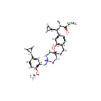 COC(=O)C(C)C(c1ccc2c(c1)OC1(CC2)CCN(Cc2cc(C3CC3)ccc2OC(F)(F)F)CC1)C1CC1